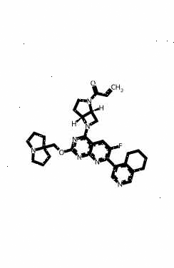 C=CC(=O)N1CC[C@@H]2[C@H]1CN2c1nc(OCC23CCCN2CCC3)nc2nc(-c3cncc4c3CCCC4)c(F)cc12